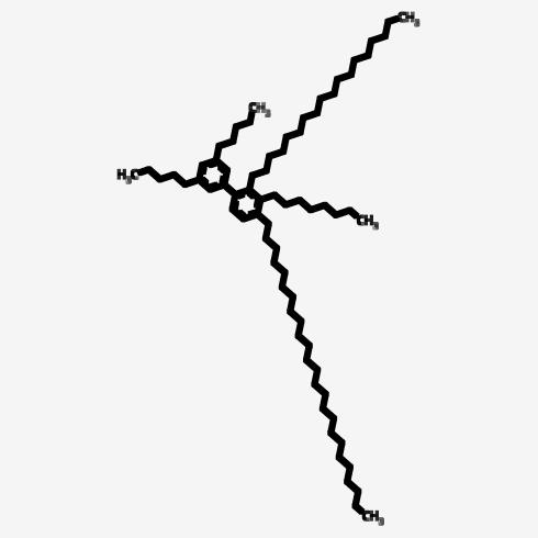 CCCCCCCCCCCCCCCCCCCCCCCCCc1ccc(-c2cc(CCCCC)cc(CCCCC)c2)c(CCCCCCCCCCCCCCCCCC)c1CCCCCCCC